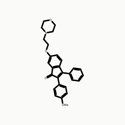 COc1ccc(C2=C(c3ccccc3)c3ccc(OCCN4CCOCC4)cc3C2=O)cc1